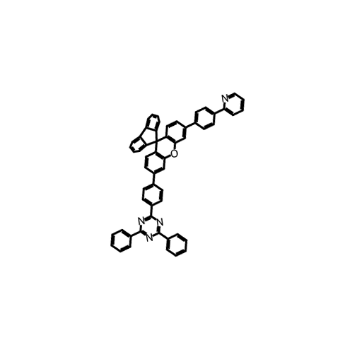 c1ccc(-c2nc(-c3ccccc3)nc(-c3ccc(-c4ccc5c(c4)Oc4cc(-c6ccc(-c7ccccn7)cc6)ccc4C54c5ccccc5-c5ccccc54)cc3)n2)cc1